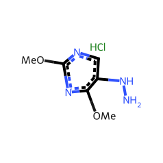 COc1ncc(NN)c(OC)n1.Cl